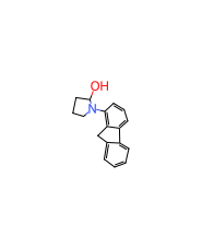 OC1CCCN1c1cccc2c1Cc1ccccc1-2